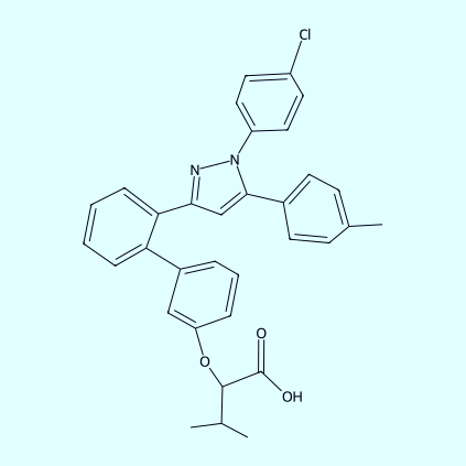 Cc1ccc(-c2cc(-c3ccccc3-c3cccc(OC(C(=O)O)C(C)C)c3)nn2-c2ccc(Cl)cc2)cc1